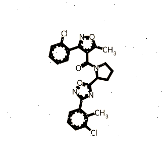 Cc1onc(-c2ccccc2Cl)c1C(=O)N1CCCC1c1nc(-c2cccc(Cl)c2C)no1